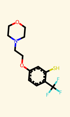 FC(F)(F)c1ccc(OCCN2CCOCC2)cc1S